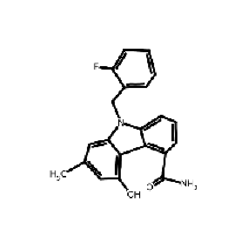 Cc1cc(O)c2c3c(C(N)=O)cccc3n(Cc3ccccc3F)c2c1